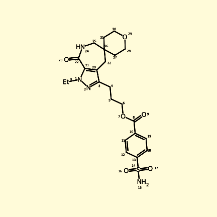 CCn1nc(CCCOC(=O)c2ccc(S(N)(=O)=O)cc2)c2c1C(=O)NCC1(CCOCC1)C2